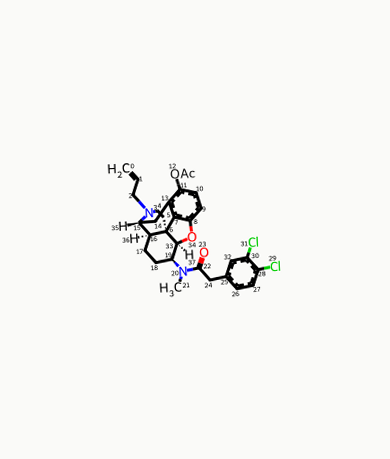 C=CCN1CC[C@@]23c4c5ccc(OC(C)=O)c4C[C@@H]1[C@@H]2CC[C@H](N(C)C(=O)Cc1ccc(Cl)c(Cl)c1)[C@@H]3O5